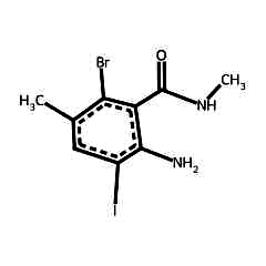 CNC(=O)c1c(N)c(I)cc(C)c1Br